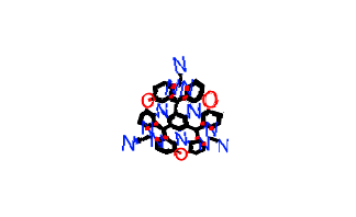 N#Cc1ncc(-c2c(N3c4ccccc4Oc4ccccc43)c(-c3cnc(C#N)nc3)c(N3c4ccccc4Oc4ccccc43)c(-c3cnc(C#N)nc3)c2N2c3ccccc3Oc3ccccc32)cn1